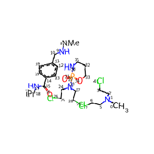 CN(CCCl)CCCl.CNNCc1ccc(C(=O)NC(C)C)cc1.O=P1(N(CCCl)CCCl)NCCCO1